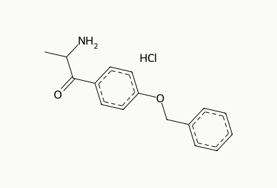 CC(N)C(=O)c1ccc(OCc2ccccc2)cc1.Cl